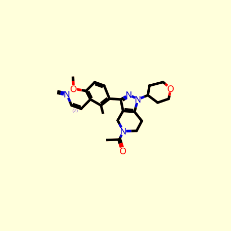 C=N/C=C\c1c(OC)ccc(-c2nn(C3CCOCC3)c3c2CN(C(C)=O)CC3)c1C